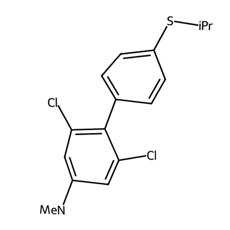 CNc1cc(Cl)c(-c2ccc(SC(C)C)cc2)c(Cl)c1